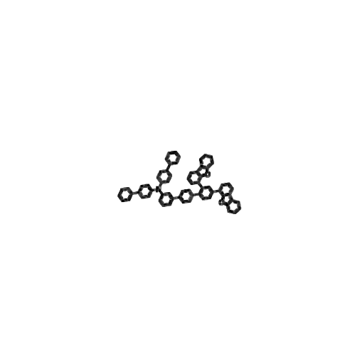 c1ccc(-c2ccc(N(c3ccc(-c4ccccc4)cc3)c3cccc(-c4ccc(-c5ccc(-c6cccc7c6oc6ccccc67)cc5-c5cccc6c5oc5ccccc56)cc4)c3)cc2)cc1